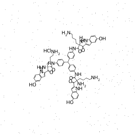 Cl.NCCCC[C@@](N)(C(=O)Nc1ccc(C(c2ccc(NC(=O)[C@](N)(CCCCN)C(=O)c3cc4cc(O)ccc4[nH]3)cc2)c2ccc(NC(=O)[C@](N)(CCCCN)C(=O)c3cc4cc(O)ccc4[nH]3)cc2)cc1)C(=O)c1cc2cc(O)ccc2[nH]1